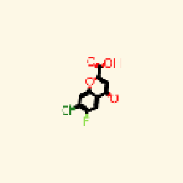 O=C(O)c1cc(=O)c2cc(F)c(Cl)cc2o1